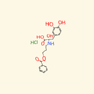 Cl.O=C(OCCCN[C@](O)(Cc1ccc(O)c(O)c1)C(=O)O)c1ccccc1